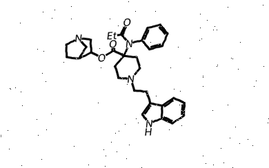 CCC(=O)N(c1ccccc1)C1(C(=O)OC2CN3CCC2C3)CCN(CCc2c[nH]c3ccccc23)CC1